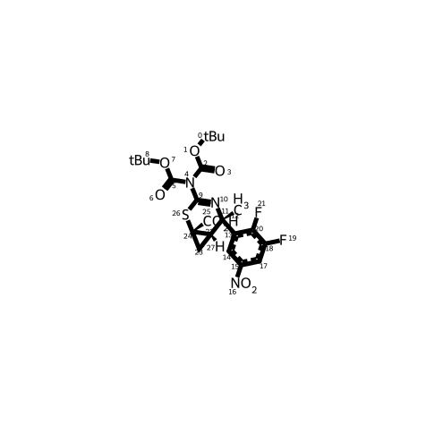 CC(C)(C)OC(=O)N(C(=O)OC(C)(C)C)C1=N[C@](C)(c2cc([N+](=O)[O-])cc(F)c2F)[C@@H]2C[C@]2(C(=O)O)S1